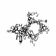 Cc1ncsc1-c1ccc([C@H]2NC(=O)[C@@H]3C[C@@H](O)CN3C(=O)[C@H](C(C)(C)C)NC(=O)CSC[C@H](C(N)=O)NC(=O)[C@@H](CNC(=O)c3cc4c(cc3CS(C)(=O)=O)-c3cn(C)c(=O)c5[nH]cc(c35)CN4c3ncc(F)cc3F)NC(=O)CNC2=O)cc1